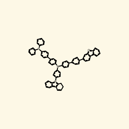 C1=Cc2c(n(-c3ccc(N(c4ccc(-c5ccc(-c6ccc7c(c6)oc6ccccc67)cc5)cc4)c4ccc(-c5ccc(N(c6ccccc6)c6ccccc6)cc5)cc4)cc3)c3ccccc23)CC1